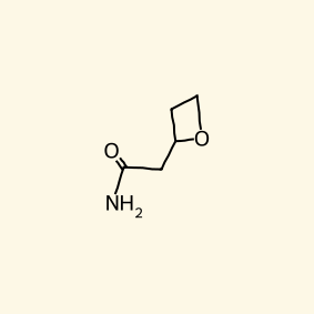 NC(=O)CC1CCO1